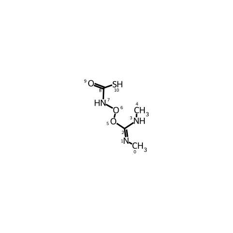 C/N=C(\NC)OONC(=O)S